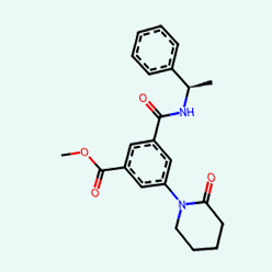 COC(=O)c1cc(C(=O)N[C@H](C)c2ccccc2)cc(N2CCCCC2=O)c1